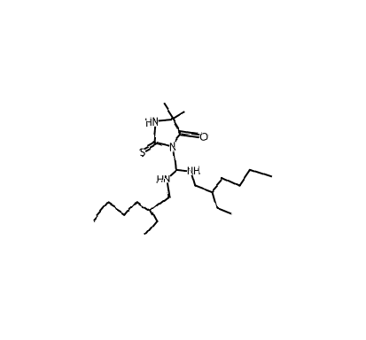 CCCCC(CC)CNC(NCC(CC)CCCC)N1C(=O)C(C)(C)NC1=S